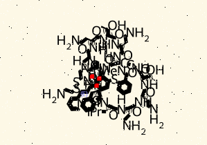 CNC(=O)c1ccccc1Sc1ccc2c(/C=C/c3ccccn3)nn(C(=O)N(CCSSCCN)CCC(=O)N[C@@H](CCN)C(=O)N[C@H](C(=O)N[C@@H](CCN)C(=O)N[C@H]3CCNC(=O)[C@H]([C@@H](C)O)NC(=O)[C@H](CCN)NC(=O)[C@H](CCN)NC(=O)[C@H](CC(C)C)NC(=O)[C@@H](Cc4ccccc4)NC(=O)[C@H](CCN)NC3=O)[C@@H](C)O)c2c1